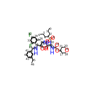 CCCC(CCC)S(=O)(=O)C[C@H](NC(=O)OC1CCOCC1)C(=O)N[C@@H](Cc1cc(F)cc(F)c1)[C@H](O)CNCc1cccc(CC)c1